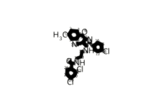 Cc1ccc(C(=O)c2nn(-c3ccc(Cl)cc3)c(NCCCNC(=O)c3ccc(Cl)cc3Cl)c2C#N)cc1